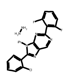 CC(C)n1c(-c2ccccc2Cl)nc2cnc(-c3c(F)cccc3F)nc21.NN